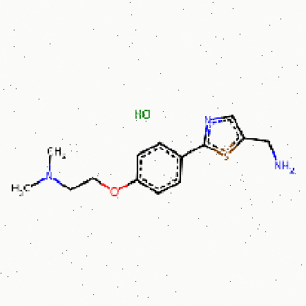 CN(C)CCOc1ccc(-c2ncc(CN)s2)cc1.Cl